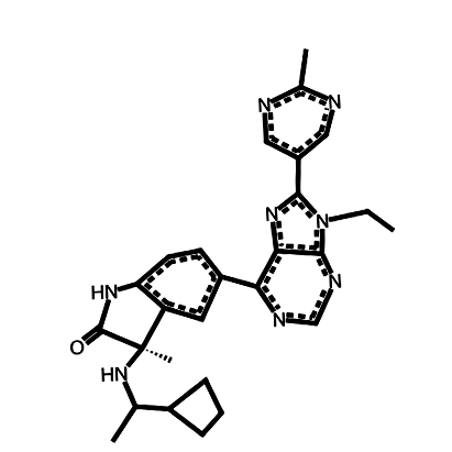 CCn1c(-c2cnc(C)nc2)nc2c(-c3ccc4c(c3)[C@@](C)(NC(C)C3CCC3)C(=O)N4)ncnc21